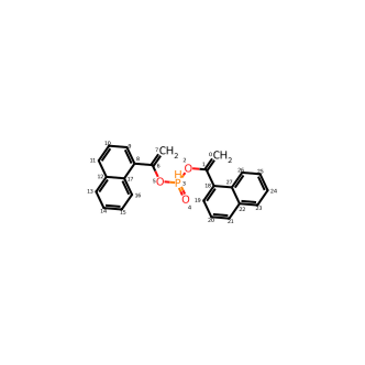 C=C(O[PH](=O)OC(=C)c1cccc2ccccc12)c1cccc2ccccc12